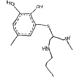 CCCNC(NC)Sc1cc(C)cc(O)c1O